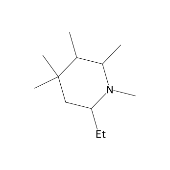 CCC1CC(C)(C)C(C)C(C)N1C